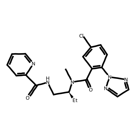 CC[C@@H](CNC(=O)c1ccccn1)N(C)C(=O)c1cc(Cl)ccc1-n1nccn1